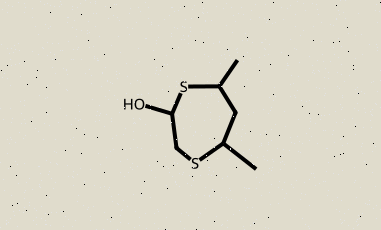 CC1CC(C)SC(O)CS1